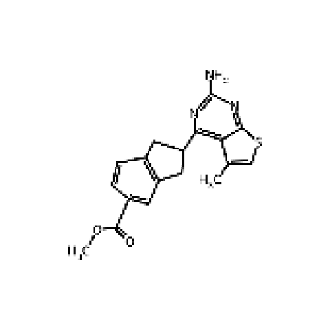 COC(=O)c1ccc2c(c1)CC(c1nc(N)nc3scc(C)c13)C2